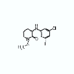 CSN1CCCC(Nc2cc(F)cc(Cl)c2)C1=O